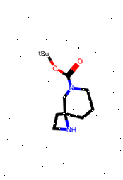 CC(C)(C)OC(=O)N1CCCC2(CCN2)C1